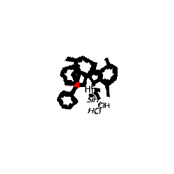 Cc1ccc(C)c2c1C=C(c1ccccc1)[CH]2[Hf]([CH3])([CH3])(=[SiH2])[CH]1C(c2ccccc2)=Cc2c(C)ccc(C)c21.Cl.Cl